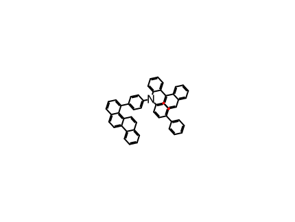 c1ccc(-c2ccc(N(c3ccc(-c4cccc5ccc6c7ccccc7ccc6c45)cc3)c3ccccc3-c3cccc4ccccc34)cc2)cc1